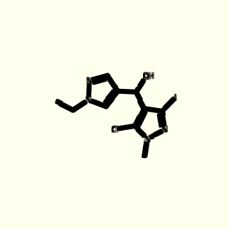 CCn1cc(C(O)c2c(I)nn(C)c2Cl)cn1